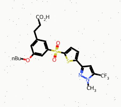 CCCCOc1cc(CCC(=O)O)cc(S(=O)(=O)c2ccc(-c3cc(C(F)(F)F)n(C)n3)s2)c1